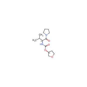 CC(C)[C@H](NC(=O)O[C@H]1CCOC1)C(=O)N1CCCC1